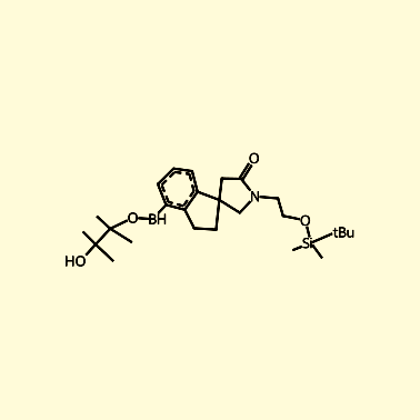 CC(C)(O)C(C)(C)OBc1cccc2c1CCC21CC(=O)N(CCO[Si](C)(C)C(C)(C)C)C1